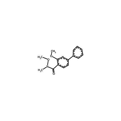 COc1nc(-c2ccccc2)ccc1C(=O)N(C)OC